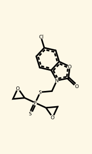 O=c1oc2cc(Cl)ccc2n1CSP(=S)(C1CO1)C1CO1